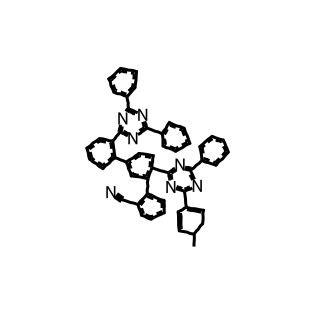 CC1C=CC(c2nc(-c3ccccc3)nc(-c3ccc(-c4ccccc4-c4nc(-c5ccccc5)nc(-c5ccccc5)n4)cc3-c3ccccc3C#N)n2)=CC1